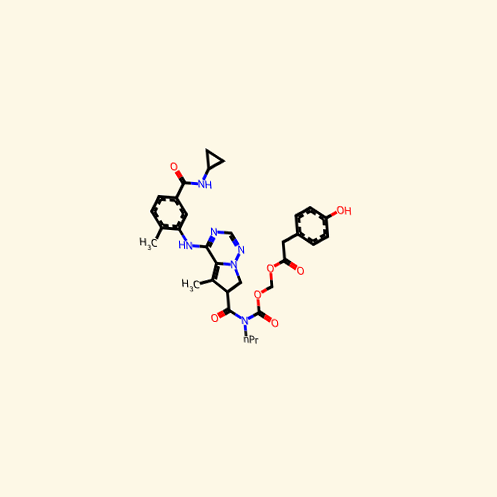 CCCN(C(=O)OCOC(=O)Cc1ccc(O)cc1)C(=O)C1CN2N=CN=C(Nc3cc(C(=O)NC4CC4)ccc3C)C2=C1C